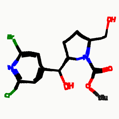 CC(C)(C)OC(=O)N1C(CO)CCC1C(O)c1cc(Cl)nc(Br)c1